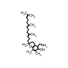 CC(C)=CCC/C(C)=C/CC/C(C)=C/CCC1(C)CCc2c(CN)c(O)c(C)c(C)c2O1